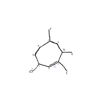 C/C1=C/C(Cl)CCC(C)CC1C